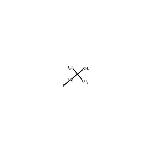 C[C](C)(C)[Mg][I]